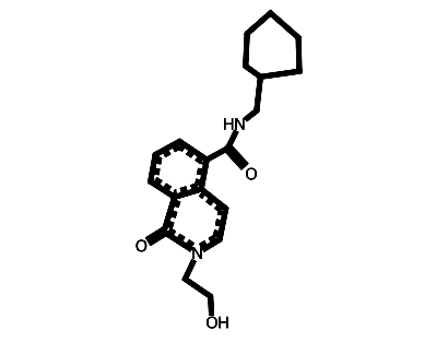 O=C(NCC1CCCCC1)c1cccc2c(=O)n(CCO)ccc12